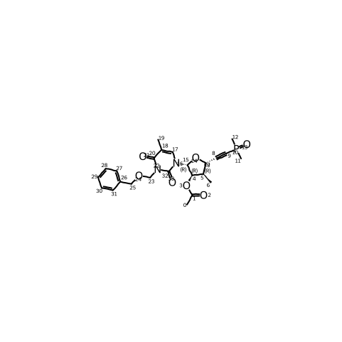 CC(=O)O[C@@H]1[C@H](C)[C@@H](C#CP(C)(C)=O)O[C@H]1n1cc(C)c(=O)n(COCc2ccccc2)c1=O